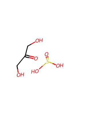 O=C(CO)CO.O=S(O)O